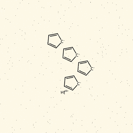 [Hf+4].c1cc[cH-]c1.c1cc[cH-]c1.c1cc[cH-]c1.c1cc[cH-]c1